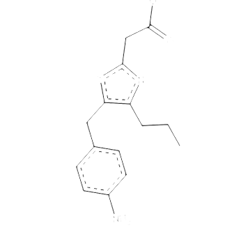 CCCc1nc(CC(=O)OC)sc1Cc1ccc(N)cc1